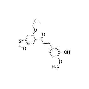 CCOc1cc2c(cc1C(=O)C=Cc1ccc(OC)c(O)c1)OCS2